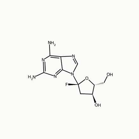 Nc1nc(N)c2ncn([C@@]3(F)C[C@H](O)[C@@H](CO)O3)c2n1